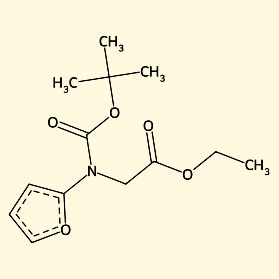 CCOC(=O)CN(C(=O)OC(C)(C)C)c1ccco1